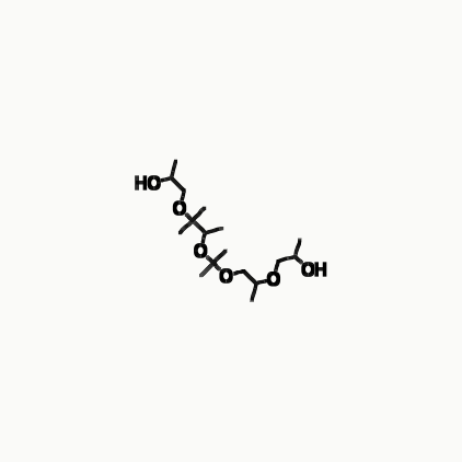 CC(O)COC(C)COC(C)(C)OC(C)C(C)(C)OCC(C)O